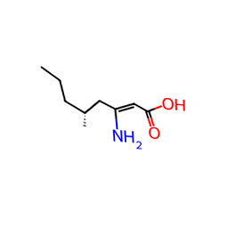 CCC[C@@H](C)CC(N)=CC(=O)O